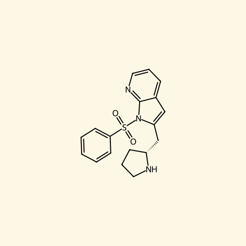 O=S(=O)(c1ccccc1)n1c(C[C@H]2CCCN2)cc2cccnc21